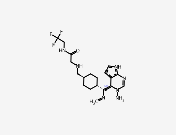 C=N/C(=C1/c2cc[nH]c2N=CN1N)[C@H]1CC[C@H](CNCC(=O)NCC(F)(F)F)CC1